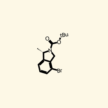 C[C@H]1c2cccc(Br)c2CN1C(=O)OC(C)(C)C